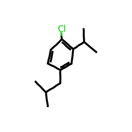 CC(C)Cc1ccc(Cl)c(C(C)C)c1